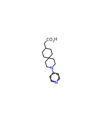 O=C(O)CC1CCC2(CC1)CCN(c1ccncc1)CC2